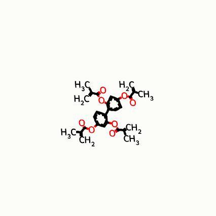 C=C(C)C(=O)Oc1ccc(-c2ccc(OC(=O)C(=C)C)cc2OC(=O)C(=C)C)c(OC(=O)C(=C)C)c1